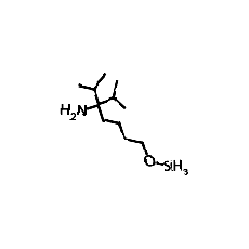 CC(C)C(N)(CCCCO[SiH3])C(C)C